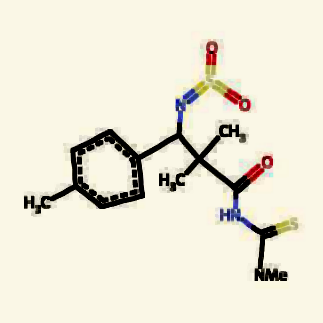 CNC(=S)NC(=O)C(C)(C)C(N=S(=O)=O)c1ccc(C)cc1